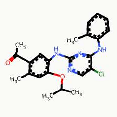 CC(=O)c1cc(Nc2ncc(Cl)c(Nc3ccccc3C)n2)c(OC(C)C)cc1C